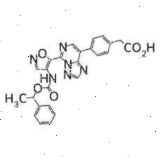 CC(OC(=O)Nc1cnoc1-c1ncc(-c2ccc(CC(=O)O)cc2)c2ncnn12)c1ccccc1